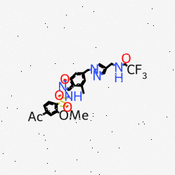 COc1cc(C(C)=O)ccc1S(=O)(=O)Nc1noc2cc(Cn3cc(CNC(=O)C(F)(F)F)cn3)cc(C)c12